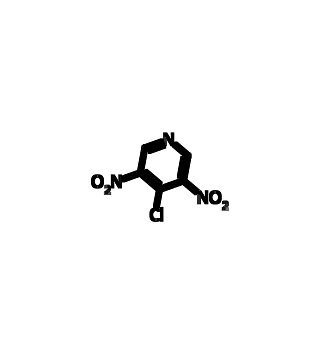 O=[N+]([O-])c1cncc([N+](=O)[O-])c1Cl